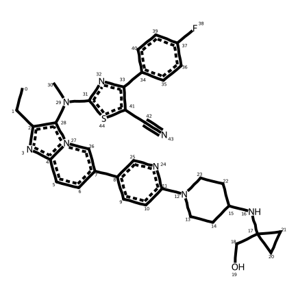 CCc1nc2ccc(-c3ccc(N4CCC(NC5(CO)CC5)CC4)nc3)cn2c1N(C)c1nc(-c2ccc(F)cc2)c(C#N)s1